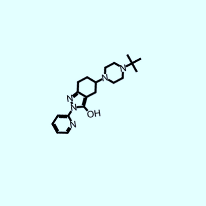 CC(C)(C)N1CCN(C2CCc3nn(-c4ccccn4)c(O)c3C2)CC1